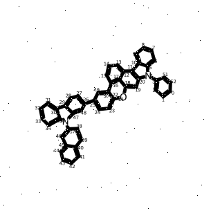 c1ccc(-n2c3ccccc3c3c4cccc5c4c(cc32)Oc2ccc(-c3ccc4c6ccccc6n(-c6ccc7ccccc7c6)c4c3)cc2-5)cc1